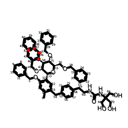 Cc1cc(OCc2ccccc2)c([C@@H]2O[C@H](COCc3ccccc3)[C@@H](OCc3ccccc3)[C@H](OCc3ccccc3)[C@H]2OCc2ccccc2)cc1Cc1ccc(CCNC(=O)NC(CO)(CO)CO)cc1